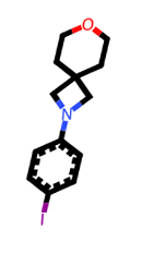 Ic1ccc(N2CC3(CCOCC3)C2)cc1